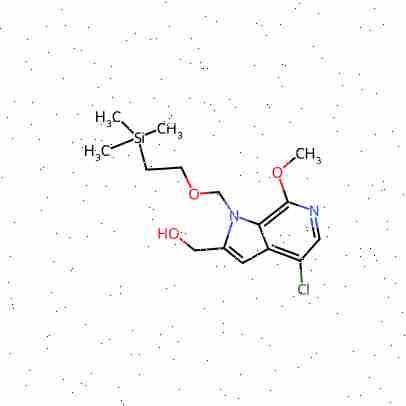 COc1ncc(Cl)c2cc(CO)n(COCC[Si](C)(C)C)c12